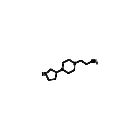 CCCN1CCN(C2CCNC2)CC1